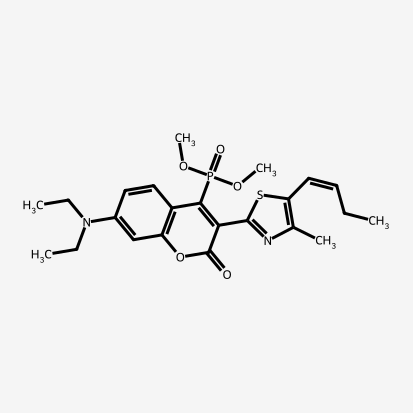 CC/C=C\c1sc(-c2c(P(=O)(OC)OC)c3ccc(N(CC)CC)cc3oc2=O)nc1C